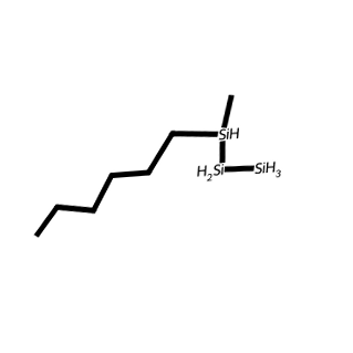 CCCCCC[SiH](C)[SiH2][SiH3]